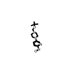 CC(C)(C)OCN1CCN(c2ccc(N=O)nc2)CC1